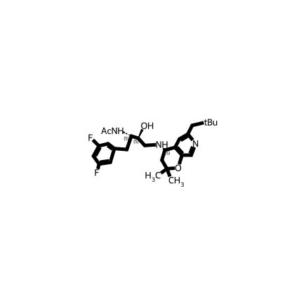 CC(=O)N[C@@H](Cc1cc(F)cc(F)c1)[C@@H](O)CN[C@H]1CC(C)(C)Oc2cnc(CC(C)(C)C)cc21